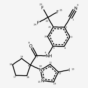 N#Cc1ccc(NC(=O)C2(n3cc(I)cn3)CCCC2)cc1C(F)(F)F